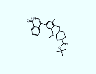 COc1cc(-c2c[nH]c(=O)c3ccccc23)cc(C)c1CC1CCN(C(=O)OC(C)(C)C)CC1